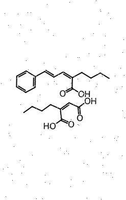 CCCC/C(=C/C(=O)O)C(=O)O.CCCCC(=CC=Cc1ccccc1)C(=O)O